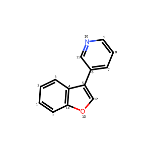 [c]1cccc2c(-c3cccnc3)coc12